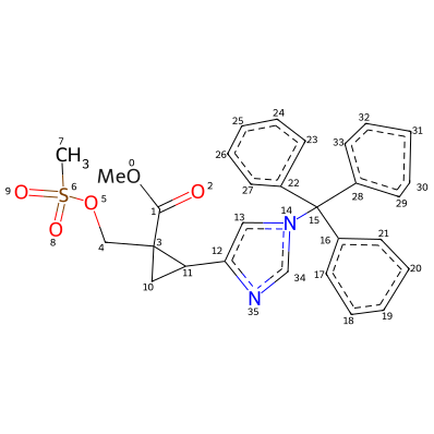 COC(=O)C1(COS(C)(=O)=O)CC1c1cn(C(c2ccccc2)(c2ccccc2)c2ccccc2)cn1